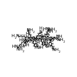 N=C(N)NCCCC(NC(=O)C(CCCCN)NC(=O)C(CCCCN)NC(=O)C(Cc1ccc(O)cc1)NC(=O)C(CCCCN)NC(=O)C(Cc1ccc(O)cc1)NC(=O)C(CCCNC(=N)N)NC(=O)C(CCCNC(=N)N)NC(=O)C(N)CCCCN)C(=O)O